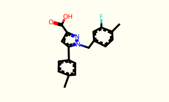 Cc1ccc(-c2cc(C(=O)O)nn2Cc2ccc(C)c(F)c2)cc1